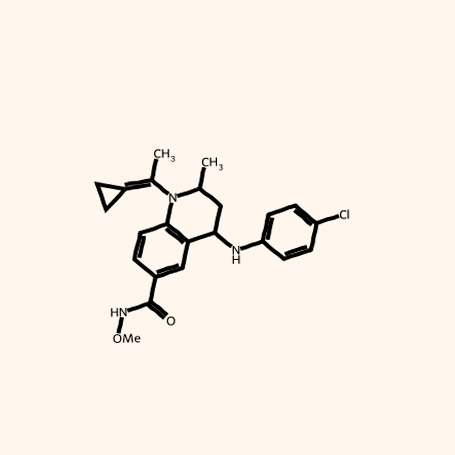 CONC(=O)c1ccc2c(c1)C(Nc1ccc(Cl)cc1)CC(C)N2C(C)=C1CC1